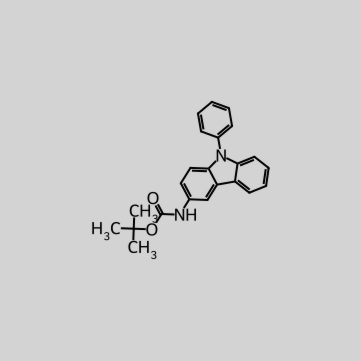 CC(C)(C)OC(=O)Nc1ccc2c(c1)c1ccccc1n2-c1ccccc1